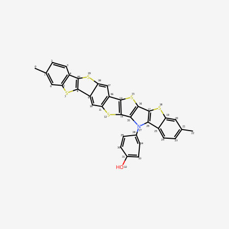 Cc1ccc2c(c1)sc1c3cc4sc5c(sc6c7sc8cc(C)ccc8c7n(-c7ccc(O)cc7)c56)c4cc3sc21